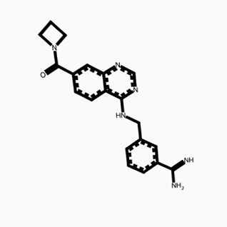 N=C(N)c1cccc(CNc2ncnc3cc(C(=O)N4CCC4)ccc23)c1